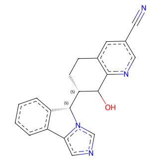 N#Cc1cnc2c(c1)CC[C@@H]([C@H]1c3ccccc3-c3cncn31)C2O